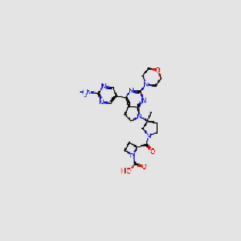 C[C@@]1(N2CCc3c(-c4cnc(N)nc4)nc(N4CCOCC4)nc32)CCN(C(=O)[C@@H]2CCN2C(=O)O)C1